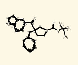 CC(C)(C)OC(=O)N1CC[C@](Cc2ccccc2)(C(=O)c2ccc3[nH]ccc3c2)C1